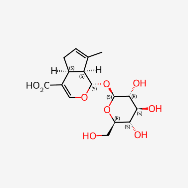 CC1=CC[C@@H]2C(C(=O)O)=CO[C@@H](O[C@@H]3O[C@H](CO)[C@@H](O)[C@H](O)[C@H]3O)[C@H]12